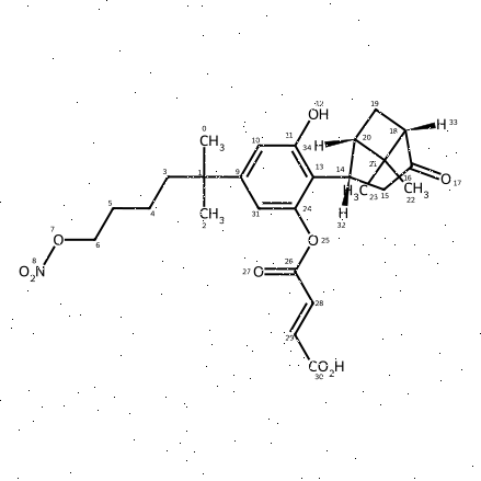 CC(C)(CCCCO[N+](=O)[O-])c1cc(O)c([C@H]2CC(=O)[C@H]3C[C@@H]2C3(C)C)c(OC(=O)C=CC(=O)O)c1